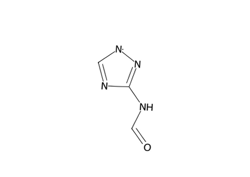 O=CNC1=N[N]C=N1